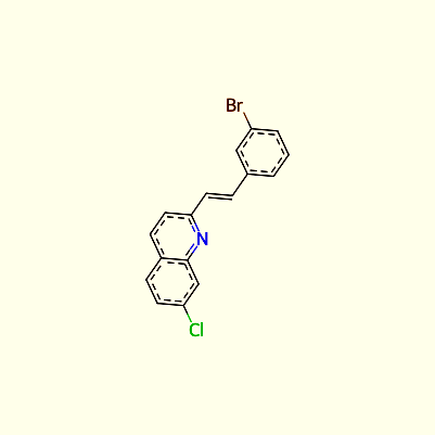 Clc1ccc2ccc(C=Cc3cccc(Br)c3)nc2c1